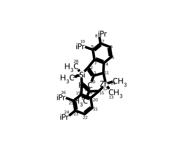 CC1=C2c3c(ccc(C(C)C)c3C(C)C)[CH]1[Zr]([CH3])([CH3])[CH]1C(C)=C(c3c1ccc(C(C)C)c3C(C)C)[Si]2(C)C